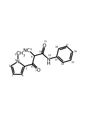 Cn1cccc1C(=O)C(C#N)C(=O)Nc1ccccc1